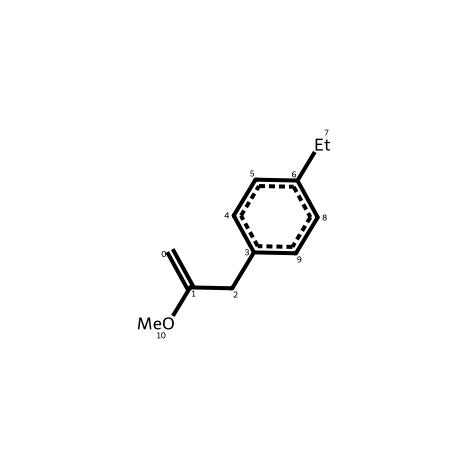 C=C(Cc1ccc(CC)cc1)OC